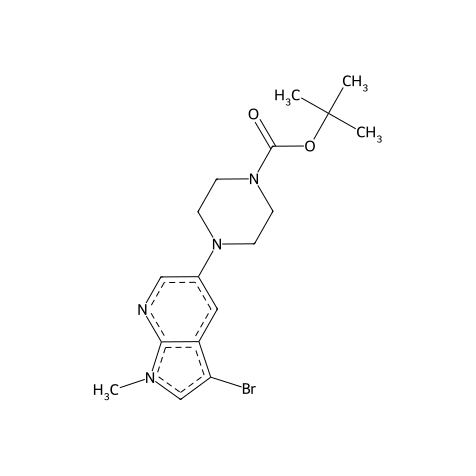 Cn1cc(Br)c2cc(N3CCN(C(=O)OC(C)(C)C)CC3)cnc21